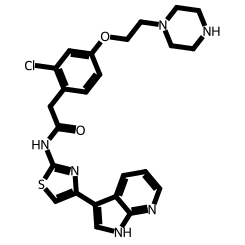 O=C(Cc1ccc(OCCN2CCNCC2)cc1Cl)Nc1nc(-c2c[nH]c3ncccc23)cs1